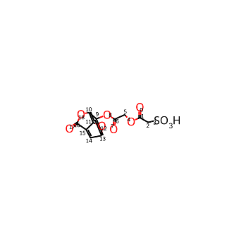 O=C(CS(=O)(=O)O)OCC(=O)Oc1c2c3oc1cc3C(=O)O2